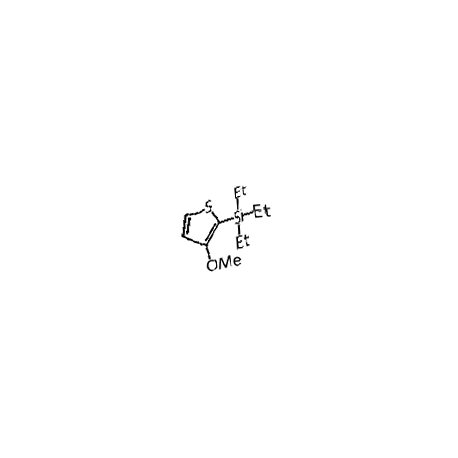 CC[Si](CC)(CC)c1sccc1OC